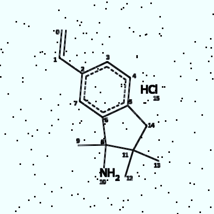 C=Cc1ccc2c(c1)C(C)(N)C(C)(C)C2.Cl